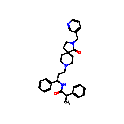 CC(C(=O)N[C@@H](CCN1CCC2(CC1)CCN(Cc1cccnc1)C2=O)c1ccccc1)c1ccccc1